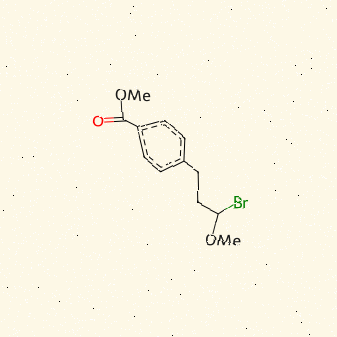 COC(=O)c1ccc(CCC(Br)OC)cc1